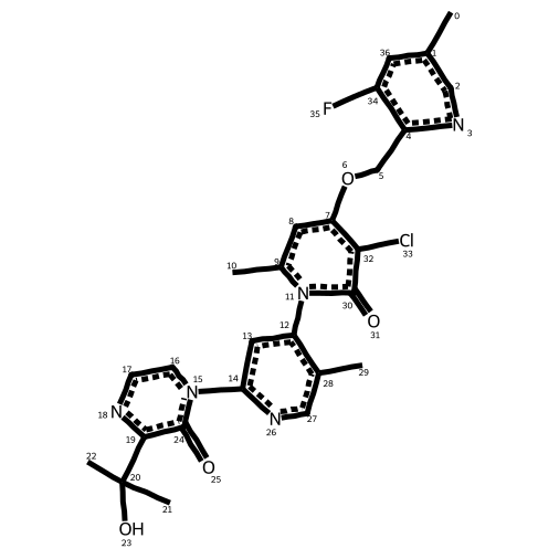 Cc1cnc(COc2cc(C)n(-c3cc(-n4ccnc(C(C)(C)O)c4=O)ncc3C)c(=O)c2Cl)c(F)c1